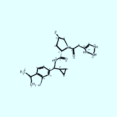 CC(C)c1ccc(C(NC(=O)[C@@H]2C[C@@H](F)CN2C(=O)CC2=CNNN2)C2CC2)cc1F